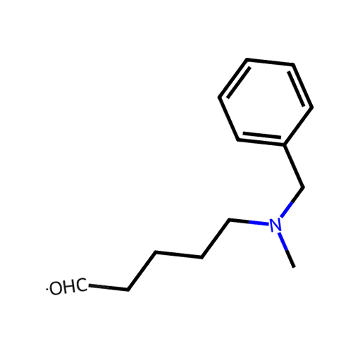 CN(CCCC[C]=O)Cc1ccccc1